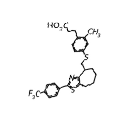 Cc1cc(SC[C@H]2CCCCc3sc(-c4ccc(C(F)(F)F)cc4)nc32)ccc1CCC(=O)O